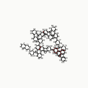 c1cc(-c2ccc3ccccc3c2)cc(N(c2ccc(-c3ccc(-c4ccccc4-n4c5ccccc5c5ccccc54)cc3)cc2)c2ccccc2-c2cccc3c2oc2cc(-c4ccc5c(-c6ccccc6N(c6ccc(-c7ccc(-c8ccccc8-n8c9ccccc9c9ccccc98)cc7)cc6)c6ccccc6-c6cccc7c6oc6ccccc67)cccc5c4)ccc23)c1